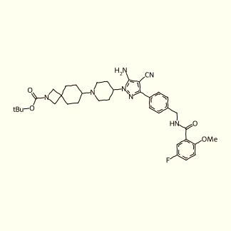 COc1ccc(F)cc1C(=O)NCc1ccc(-c2nn(C3CCN(C4CCC5(CC4)CN(C(=O)OC(C)(C)C)C5)CC3)c(N)c2C#N)cc1